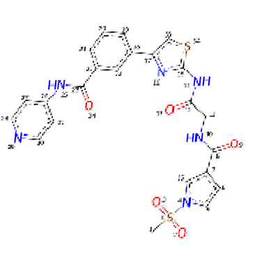 CS(=O)(=O)n1ccc(C(=O)NCC(=O)Nc2nc(-c3cccc(C(=O)Nc4ccncc4)c3)cs2)c1